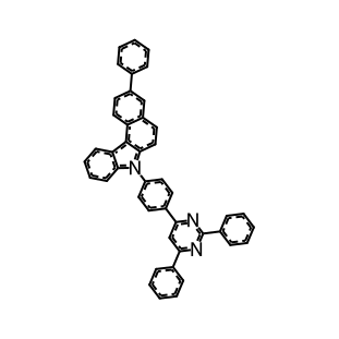 c1ccc(-c2ccc3c(ccc4c3c3ccccc3n4-c3ccc(-c4cc(-c5ccccc5)nc(-c5ccccc5)n4)cc3)c2)cc1